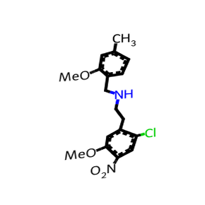 COc1cc(C)ccc1CNCCc1cc(OC)c([N+](=O)[O-])cc1Cl